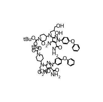 CC(C)(C)OC(=O)N1CCC(N(CC(O)CO)c2nn(-c3ccc(Oc4ccccc4)cc3)c(C(N)=O)c2[N+](=O)[O-])CC1.CC(C)(C)OC(=O)N1CCC(N(CC=O)c2nn(-c3ccc(Oc4ccccc4)cc3)c(C(N)=O)c2[N+](=O)[O-])CC1